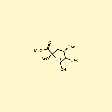 COC(=O)[C@@](O)(C[C@@H](OC(C)=O)[C@H](CO)OC(C)=O)OC(C)=O